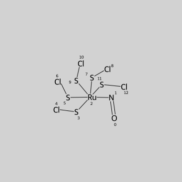 O=[N][Ru]([S]Cl)([S]Cl)([S]Cl)([S]Cl)[S]Cl